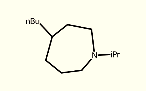 CCCCC1CCCN(C(C)C)CC1